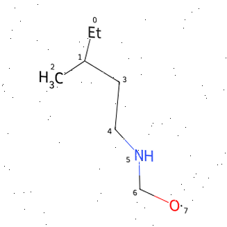 CCC(C)CCNC[O]